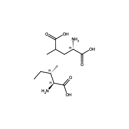 CC(C[C@H](N)C(=O)O)C(=O)O.CC[C@H](C)[C@H](N)C(=O)O